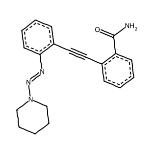 NC(=O)c1ccccc1C#Cc1ccccc1/N=N/N1CCCCC1